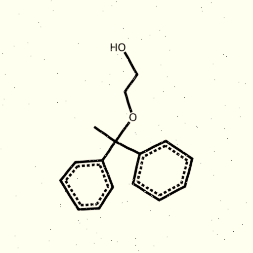 CC(OCCO)(c1ccccc1)c1ccccc1